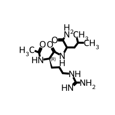 CC(=O)N[C@H](CCCNC(=N)N)C(=O)NC(CC(C)C)C(N)=O